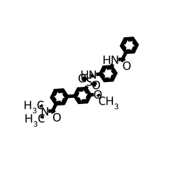 COc1ccc(-c2cccc(C(=O)N(C)C)c2)cc1S(=O)(=O)Nc1cccc(NC(=O)c2ccccc2)c1